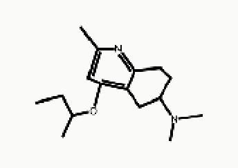 CCC(C)Oc1cc(C)nc2c1CC(N(C)C)CC2